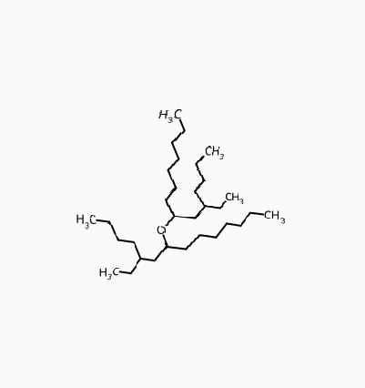 CCCCCCCC(CC(CC)CCCC)OC(CCCCCCC)CC(CC)CCCC